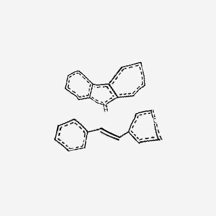 C(=Cc1ccccc1)c1ccccc1.c1ccc2c(c1)[nH]c1ccccc12